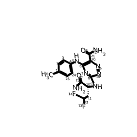 Cc1ccc(Nc2nc(N[C@H](CC(F)F)C(N)=O)nnc2C(N)=O)cc1